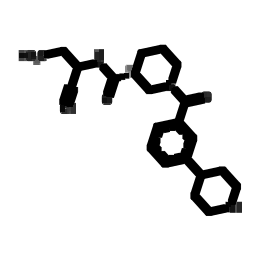 C#CC(CC(=O)O)NC(=O)[C@@H]1CCCN(C(=O)c2cccc(C3CCNCC3)c2)C1